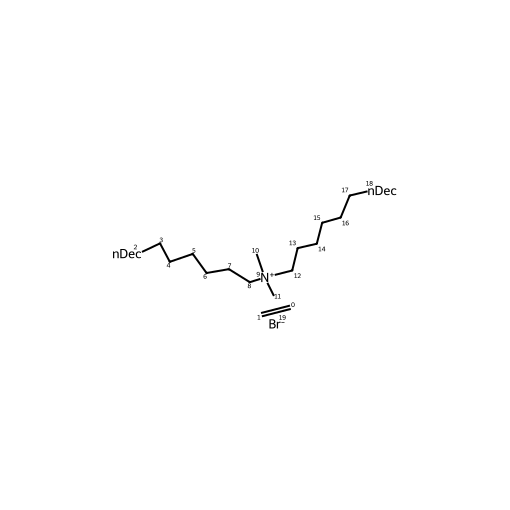 C=C.CCCCCCCCCCCCCCCC[N+](C)(C)CCCCCCCCCCCCCCCC.[Br-]